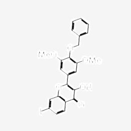 COc1cc(-c2oc3cc(I)ccc3c(=O)c2O)cc(OC)c1OCc1ccccc1